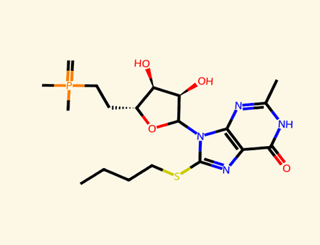 C=P(C)(C)CC[C@H]1OC(n2c(SCCCC)nc3c(=O)[nH]c(C)nc32)[C@H](O)[C@@H]1O